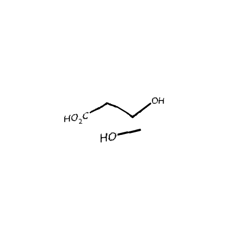 CO.O=C(O)CCO